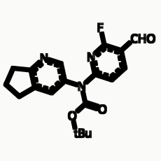 CC(C)(C)OC(=O)N(c1cnc2c(c1)CCC2)c1ccc(C=O)c(F)n1